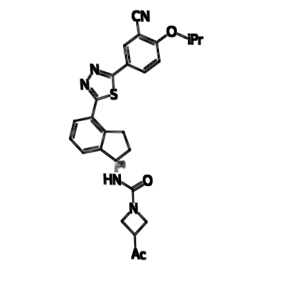 CC(=O)C1CN(C(=O)N[C@H]2CCc3c(-c4nnc(-c5ccc(OC(C)C)c(C#N)c5)s4)cccc32)C1